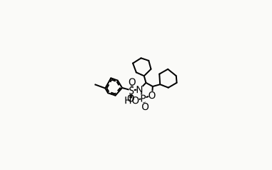 Cc1ccc(S(=O)(=O)N2C(C3CCCCC3)C(C3CCCCC3)OP2(=O)O)cc1